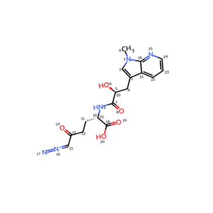 Cn1cc(C[C@H](O)C(=O)N[C@@H](CCC(=O)C=[N+]=[N-])C(=O)O)c2cccnc21